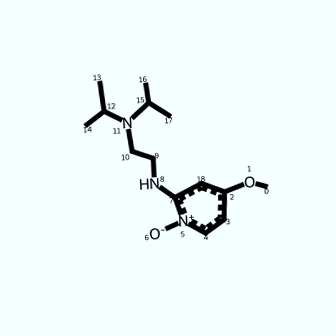 COc1cc[n+]([O-])c(NCCN(C(C)C)C(C)C)c1